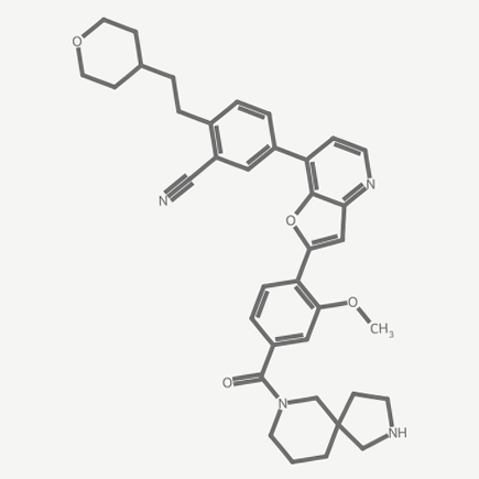 COc1cc(C(=O)N2CCCC3(CCNC3)C2)ccc1-c1cc2nccc(-c3ccc(CCC4CCOCC4)c(C#N)c3)c2o1